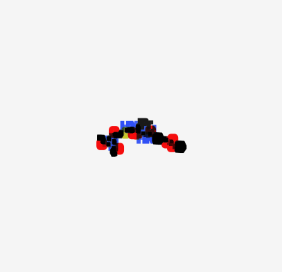 C=CC(=O)N1CN(C(=O)C=C)CN(C(=O)CCSCC(=O)N[C@H](C(=O)NCC(=O)Nc2ccc(COC(=O)Oc3ccccc3)cc2)C(C)C)C1